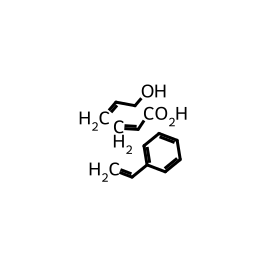 C=CC(=O)O.C=CCO.C=Cc1ccccc1